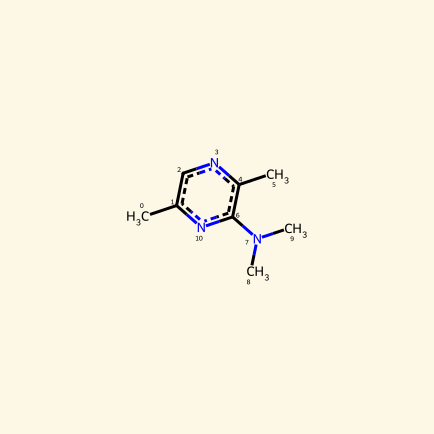 Cc1cnc(C)c(N(C)C)n1